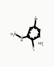 Cl.NNc1cc(Br)ccc1F